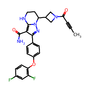 CC#CC(=O)N1CC(C2CCNc3c(C(N)=O)c(-c4ccc(Oc5ccc(F)cc5F)cc4)nn32)C1